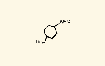 CC(=O)NC1CCC(C(=O)O)CC1